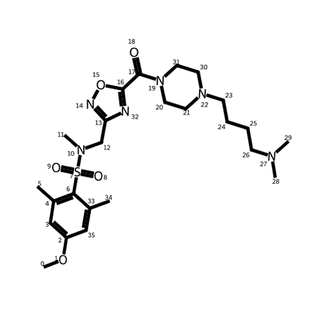 COc1cc(C)c(S(=O)(=O)N(C)Cc2noc(C(=O)N3CCN(CCCCN(C)C)CC3)n2)c(C)c1